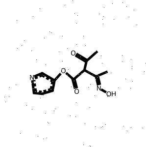 CC(=O)C(C(=O)Oc1cccnc1)C(C)=NO